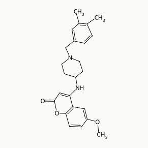 COc1ccc2oc(=O)cc(NC3CCN(Cc4ccc(C)c(C)c4)CC3)c2c1